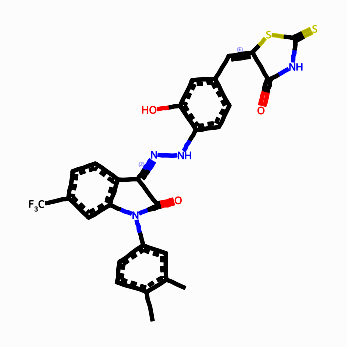 Cc1ccc(N2C(=O)/C(=N\Nc3ccc(/C=C4/SC(=S)NC4=O)cc3O)c3ccc(C(F)(F)F)cc32)cc1C